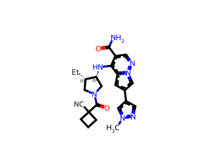 CC[C@H]1CN(C(=O)C2(C#N)CCC2)C[C@H]1Nc1c(C(N)=O)cnn2cc(-c3cnn(C)c3)cc12